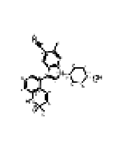 Cc1cc2c(cc1C#N)c(-c1cccc3c1C=CC(C)(C)N3)cn2[C@H]1CC[C@@H](O)CC1